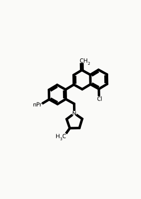 C=C1C=C(c2ccc(CCC)cc2CN2CCC(C)C2)Cc2c(Cl)cccc21